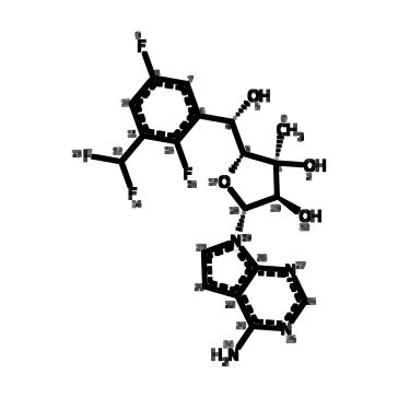 C[C@@]1(O)[C@@H]([C@@H](O)c2cc(F)cc(C(F)F)c2F)O[C@@H](n2ccc3c(N)ncnc32)[C@@H]1O